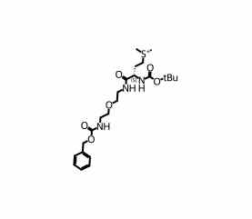 C[S+](C)CC[C@H](NC(=O)OC(C)(C)C)C(=O)NCCOCCNC(=O)OCc1ccccc1